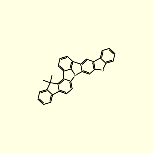 CC1(C)c2ccccc2-c2ccc3c(c21)c1cccc2c4cc5c(cc4n3c21)oc1ccccc15